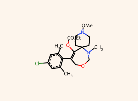 CCOC(=O)OC1=C(c2c(C)cc(Cl)cc2C)COCN(C)C12CCN(OC)CC2